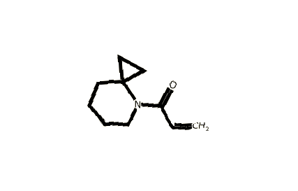 C=CC(=O)N1CCCCC12CC2